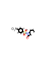 C/C=C\C1CC(=O)N1S(=O)(=O)c1ccc([N+](=O)[O-])cc1